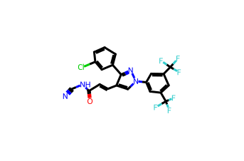 N#CNC(=O)/C=C/c1cn(-c2cc(C(F)(F)F)cc(C(F)(F)F)c2)nc1-c1cccc(Cl)c1